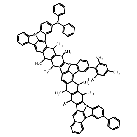 Cc1cc(C)c(-c2ccc3c(c2)c2c4c(cc5c6c(n3c52)C(C)C2=C(C(C)c3cc5c7ccccc7n7c8ccc(N(c9ccccc9)c9ccccc9)cc8c(c3C2C)c57)C6C)C(C)C2=C(C4C)C(C)c3c(c4cc5ccccc5c5c6cc(-c7ccccc7)ccc6n3c45)C2C)c(C)c1